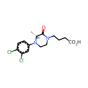 C[C@@H]1C(=O)N(CCCC(=O)O)CCN1c1ccc(Cl)c(Cl)c1